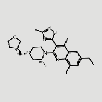 CCc1cc(I)c2nc(N3CC[C@@H](N[C@H]4CCOC4)C[C@H]3C)c(-c3nc(C)no3)c(C)c2c1